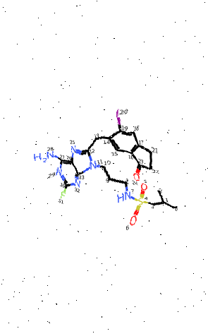 CC(C)CS(=O)(=O)NCCCn1c(Cc2cc3c(cc2I)CCC3=O)nc2c(N)nc(F)nc21